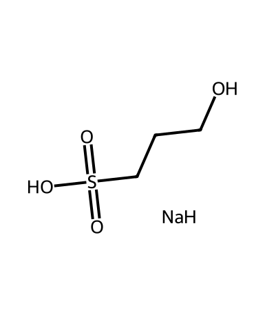 O=S(=O)(O)CCCO.[NaH]